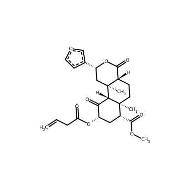 C=CCC(=O)O[C@H]1C[C@@H](C(=O)OC)[C@]2(C)CC[C@H]3C(=O)O[C@@H](c4ccoc4)C[C@]3(C)[C@H]2C1=O